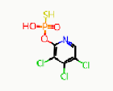 O=P(O)(S)Oc1ncc(Cl)c(Cl)c1Cl